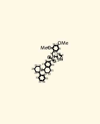 COc1ccc(CN(c2ncns2)S(=O)(=O)c2ccc3c(c2)CCCC3N2CCCCC2c2ccccc2)c(OC)c1